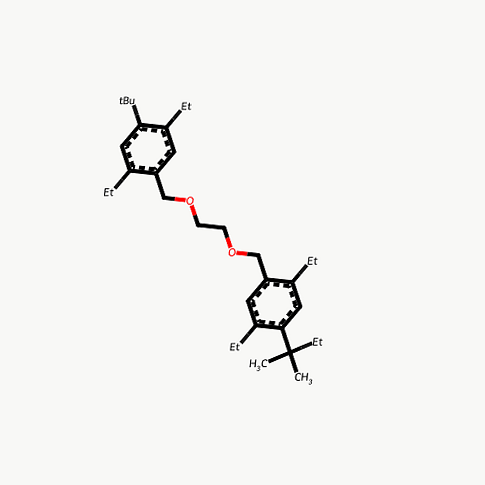 CCc1cc(C(C)(C)C)c(CC)cc1COCCOCc1cc(CC)c(C(C)(C)CC)cc1CC